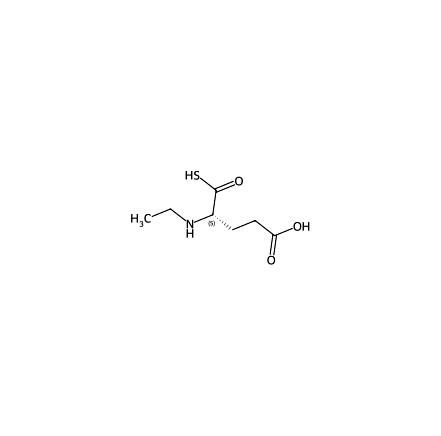 CCN[C@@H](CCC(=O)O)C(=O)S